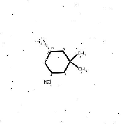 CC1(C)CCC[C@H](N)C1.Cl